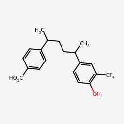 CC(CCC(C)c1ccc(O)c(C(F)(F)F)c1)c1ccc(C(=O)O)cc1